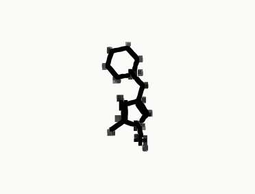 [2H]n1cc(CN2CCCCC2)nc1C